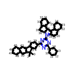 CC1(C)c2cc(-c3nc(-c4ccccc4)nc(-n4c5ccc6ccccc6c5c5c6ccccc6ccc54)n3)ccc2-c2cc3ccccc3cc21